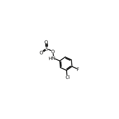 O=[SH](=O)ONc1ccc(F)c(Cl)c1